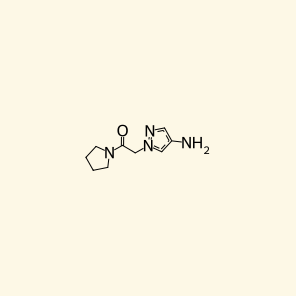 Nc1cnn(CC(=O)N2CCCC2)c1